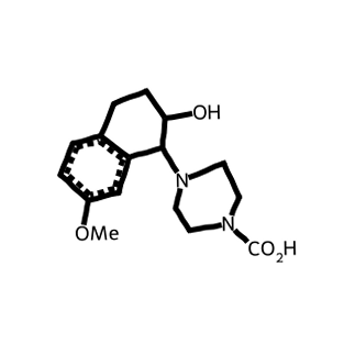 COc1ccc2c(c1)C(N1CCN(C(=O)O)CC1)C(O)CC2